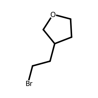 BrCCC1CCOC1